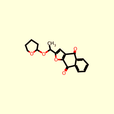 CC(OC1CCCCO1)c1cc2c(o1)C(=O)c1ccccc1C2=O